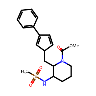 COC(=O)N1CCCC(NS(C)(=O)=O)C1CC1C=CC(c2ccccc2)=C1